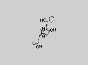 CC1/C(=C/CCCC(=O)O)[C@@H]2CC[C@H](O)[C@@H](C#CC(O)C3CCCCC3)[C@H]12